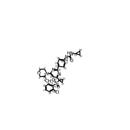 C[C@H]1COCCN1c1cc(C2(S(=O)(=O)c3ccccc3Cl)CC2)nc(-c2ccc(NC(=O)NC3CC3)cc2)n1